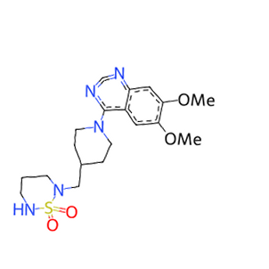 COc1cc2ncnc(N3CCC(CN4CCCNS4(=O)=O)CC3)c2cc1OC